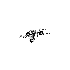 COc1ccc(CNc2ncnc3c(-c4c(C)ccc(OC)c4C)nc(C(=O)N4CCCC4)cc23)c(OC)c1